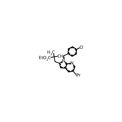 CCOC(=O)C(C)(C)Cc1cc2cc(C(C)C)cnc2n1Cc1ccc(Cl)cc1